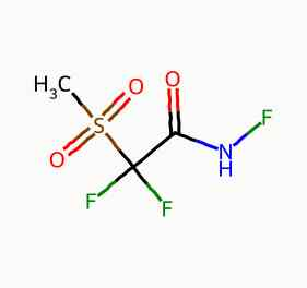 CS(=O)(=O)C(F)(F)C(=O)NF